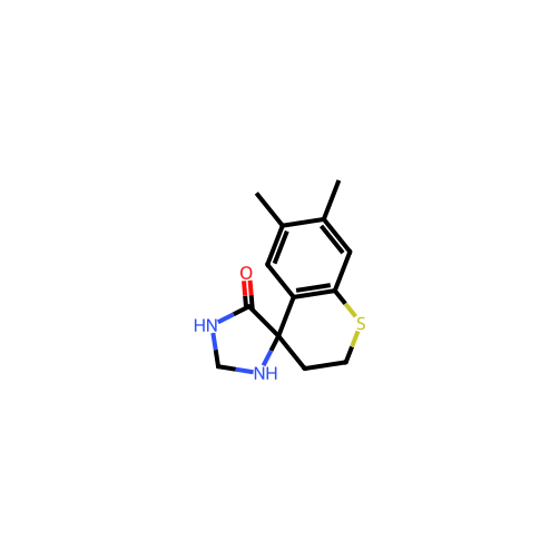 Cc1cc2c(cc1C)C1(CCS2)NCNC1=O